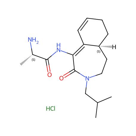 CC(C)CN1CC[C@@H]2CCC=CC2=C(NC(=O)[C@H](C)N)C1=O.Cl